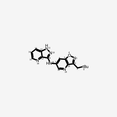 CC(C)(C)Cc1noc2cc(Nc3n[nH]c4cccnc34)cnc12